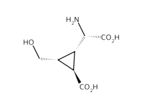 N[C@H](C(=O)O)[C@H]1[C@@H](CO)[C@@H]1C(=O)O